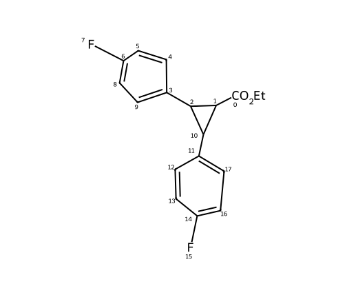 CCOC(=O)C1C(c2ccc(F)cc2)C1c1ccc(F)cc1